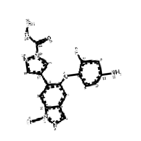 CCn1ncc2cc(Oc3ccc(N)cc3F)c(-c3cnn(C(=O)OC(C)(C)C)c3)cc21